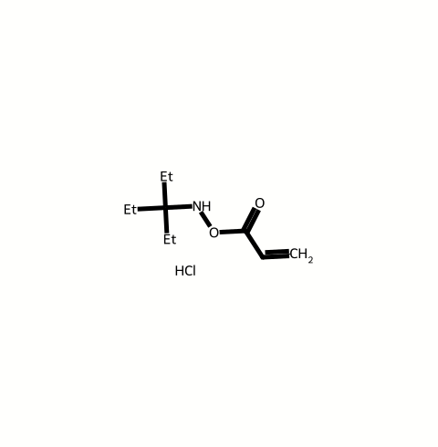 C=CC(=O)ONC(CC)(CC)CC.Cl